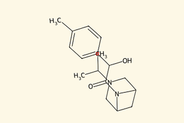 Cc1ccc(C(O)C(=O)N2C3CC2CN(C(C)C)C3)cc1